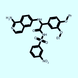 CCOc1cc(C(Nc2ccc3c(N)nccc3c2)C(=O)NS(=O)(=O)c2cccc([N+](=O)[O-])c2)ccc1OC(C)C